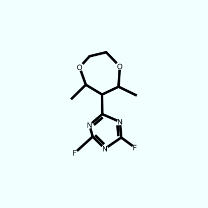 CC1OCCOC(C)C1c1nc(F)nc(F)n1